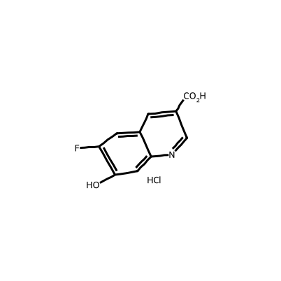 Cl.O=C(O)c1cnc2cc(O)c(F)cc2c1